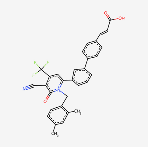 Cc1ccc(Cn2c(-c3cccc(-c4ccc(/C=C/C(=O)O)cc4)c3)cc(C(F)(F)F)c(C#N)c2=O)c(C)c1